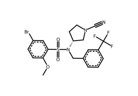 COc1ccc(Br)cc1S(=O)(=O)N(Cc1cccc(C(F)(F)F)c1)[C@@H]1CCN(C#N)C1